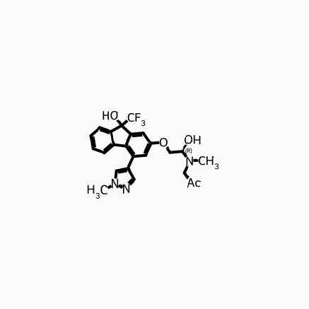 CC(=O)CN(C)[C@H](O)COc1cc(-c2cnn(C)c2)c2c(c1)C(O)(C(F)(F)F)c1ccccc1-2